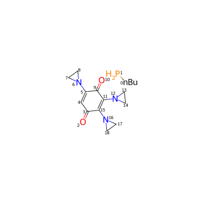 CCCCP.O=C1C=C(N2CC2)C(=O)C(N2CC2)=C1N1CC1